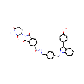 COc1ccc(-c2cn(Cc3ccc(CNC(=O)c4ccc5c(c4)C(=O)N(C4CCC(=O)NC4=O)C5=O)cc3)c3ccccc23)cc1